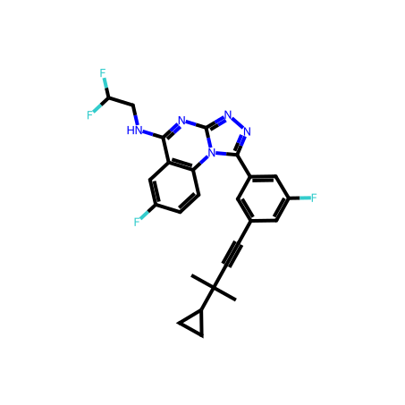 CC(C)(C#Cc1cc(F)cc(-c2nnc3nc(NCC(F)F)c4cc(F)ccc4n23)c1)C1CC1